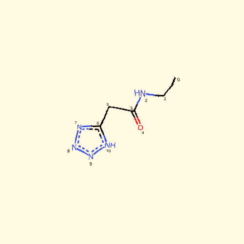 CCNC(=O)Cc1nnn[nH]1